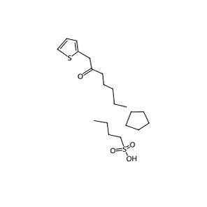 C1CCCC1.CCCCCC(=O)Cc1cccs1.CCCCS(=O)(=O)O